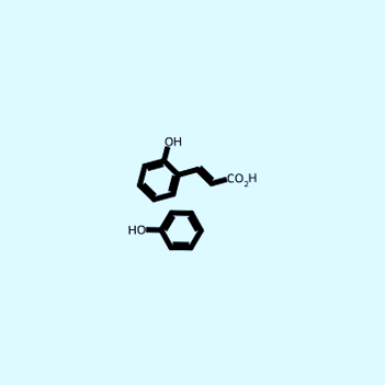 O=C(O)/C=C/c1ccccc1O.Oc1ccccc1